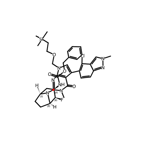 Cn1cc2c(Cl)c(-c3cn(COCC[Si](C)(C)C)c4nc(N5[C@H]6CC[C@@H]5[C@H](F)[C@H](NC(=O)OCc5ccccc5)C6)n(C)c(=O)c34)ccc2n1